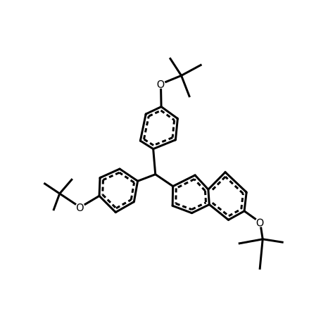 CC(C)(C)Oc1ccc(C(c2ccc(OC(C)(C)C)cc2)c2ccc3cc(OC(C)(C)C)ccc3c2)cc1